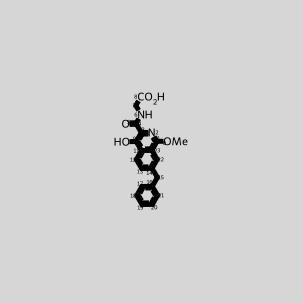 COc1nc(C(=O)NCC(=O)O)c(O)c2ccc(Cc3ccccc3)cc12